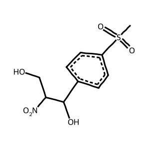 CS(=O)(=O)c1ccc(C(O)C(CO)[N+](=O)[O-])cc1